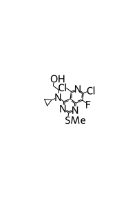 CSc1nc(N(CCO)C2CC2)c2c(Cl)nc(Cl)c(F)c2n1